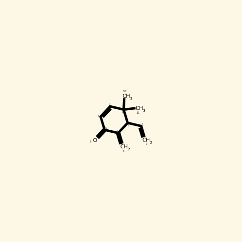 C=CC1C(=C)C(=O)C=CC1(C)C